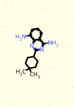 CC1(C)CCC(c2nc(N)c3cccc(N)c3n2)CC1